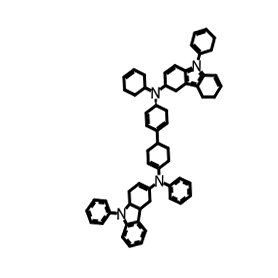 C1=CCCC(n2c3c(c4c2C=CC(N(C2CC=CCC2)[C@@H]2C=CC(C5CC=C(N(C6=CCC7C(C6)c6ccccc6N7c6ccccc6)c6ccccc6)CC5)=CC2)C4)CCC=C3)=C1